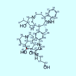 CCC1(O)C[C@H]2CN(CCc3c([nH]c4ccccc34)[C@H](C)C2c2cc3c(cc2C)N(C)C2C34CCN3CC=C[C@](CC)(C34)[C@@H](O)[C@]2(O)C(=O)NCCCO)C1